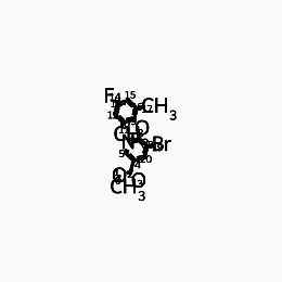 COC(=O)c1cnc(Oc2c(C)cc(F)cc2C)c(Br)c1